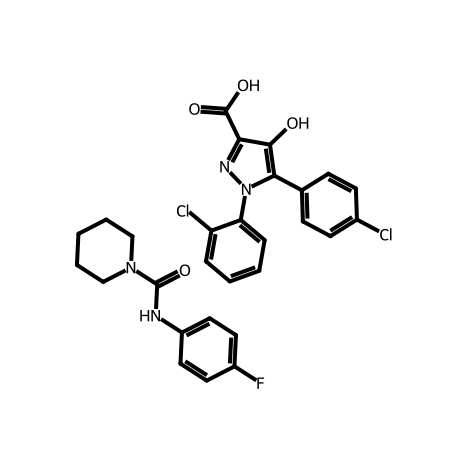 O=C(Nc1ccc(F)cc1)N1CCCCC1.O=C(O)c1nn(-c2ccccc2Cl)c(-c2ccc(Cl)cc2)c1O